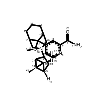 COC1(c2ccnc(C(N)=O)c2)C2CCCC1CN([C@H]1C[C@H]3[C@H]4C1[C@]43C)C2